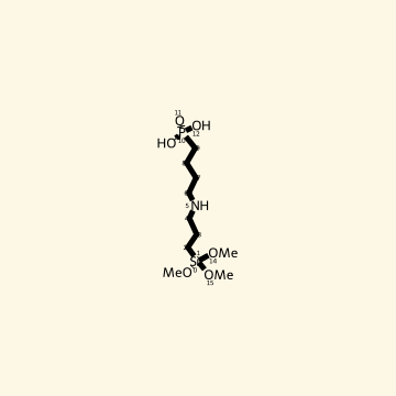 CO[Si](CCCNCCCCP(=O)(O)O)(OC)OC